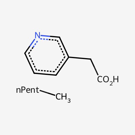 CCCCCC.O=C(O)Cc1cccnc1